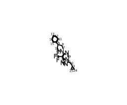 FC(F)(F)c1c(N2CCC(c3ccccc3)CC2)ncn2c(CC3CC3)nnc12